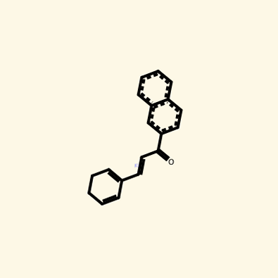 O=C(/C=C/C1=CCCC=C1)c1ccc2ccccc2c1